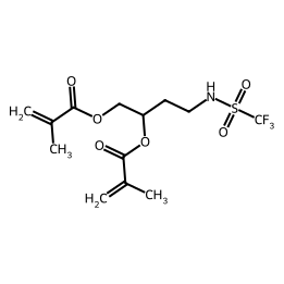 C=C(C)C(=O)OCC(CCNS(=O)(=O)C(F)(F)F)OC(=O)C(=C)C